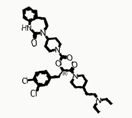 CCN(CC)CCC1CCN(C(=O)[C@@H](Cc2ccc(Cl)c(Cl)c2)OC(=O)N2CCC(N3CCc4ccccc4NC3=O)CC2)CC1